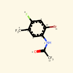 O=C(Nc1cc(C(F)(F)F)c(F)cc1Br)C(F)(F)F